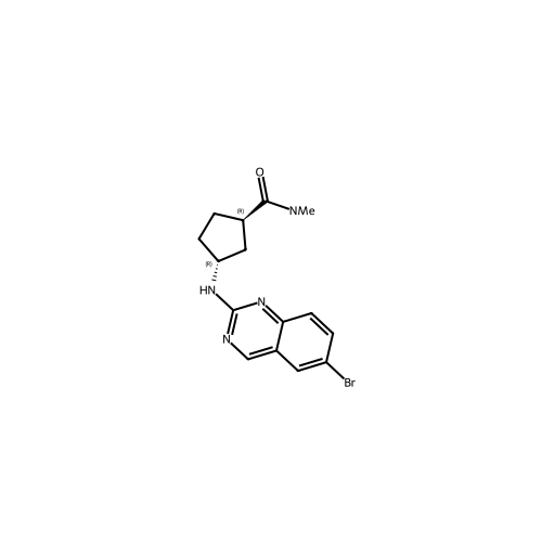 CNC(=O)[C@@H]1CC[C@@H](Nc2ncc3cc(Br)ccc3n2)C1